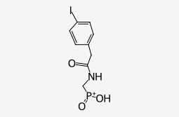 O=C(Cc1ccc(I)cc1)NC[P+](=O)O